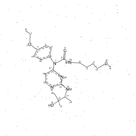 CCOc1ccc(N(C(=O)NCCCCOC)c2ccnc(NC(C)C(C)(C)O)n2)cc1